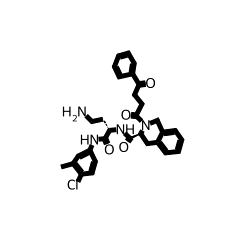 Cc1cc(NC(=O)[C@H](CCN)NC(=O)[C@@H]2Cc3ccccc3CN2C(=O)CCC(=O)c2ccccc2)ccc1Cl